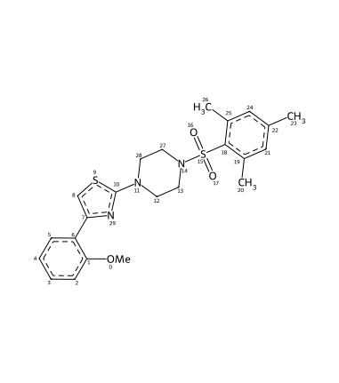 COc1ccccc1-c1csc(N2CCN(S(=O)(=O)c3c(C)cc(C)cc3C)CC2)n1